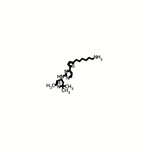 C=C1CC(Nc2nccc(-c3ccc(CCCCCCN)s3)n2)CC(C)(C)N1